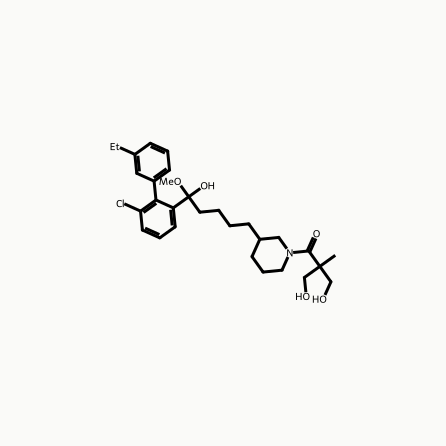 CCc1cccc(-c2c(Cl)cccc2C(O)(CCCCC2CCCN(C(=O)C(C)(CO)CO)C2)OC)c1